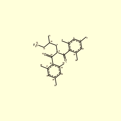 Cc1cc(C)c(C(=O)P(CC(C)CC(F)(F)F)C(=O)c2c(C)cc(C)cc2C)c(C)c1